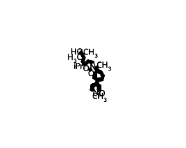 CC(C)[C@]1(CCC(C)(C)O)CCN([C@@H](C)C2=CCC=C(c3ccn(C)c(=O)c3)C=C2)C(=O)O1